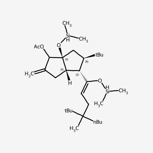 C=C1C[C@H]2[C@@H](C(=CCC(C)(CCCC)C(C)(C)C)O[SiH](C)C)[C@H](C(C)(C)C)C[C@@]2(O[SiH](C)C)C1OC(C)=O